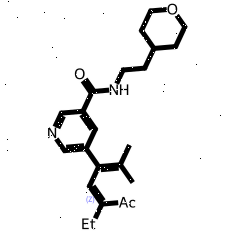 CC/C(=C/C(=C(C)C)c1cncc(C(=O)NCCC2CCOCC2)c1)C(C)=O